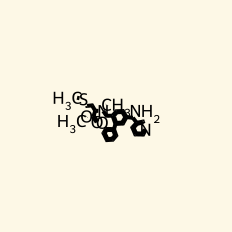 COC(=O)C(CCSC)N(C)C(=O)c1ccc(C(N)c2cccnc2)cc1-c1ccccc1